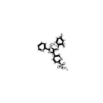 Cn1c(-c2ccccn2)nc(-c2ccc(S(C)(=O)=O)nc2)c1Sc1ccc(F)cc1F